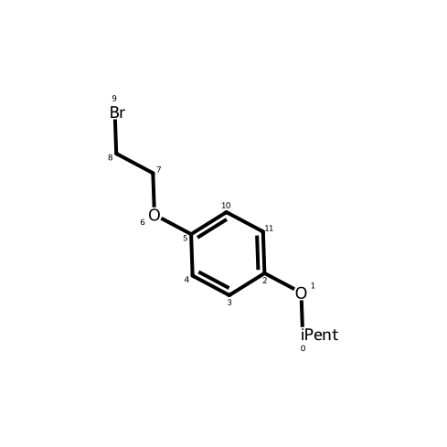 CCCC(C)Oc1ccc(OCCBr)cc1